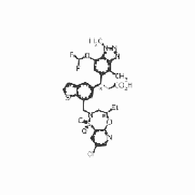 CC[C@@H]1CN(Cc2cc([C@@H](CC(=O)O)c3cc(OC(F)F)c4c(nnn4C)c3C)cc3ccsc23)S(=O)(=O)c2cc(Cl)cnc2O1